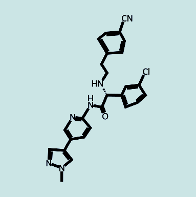 Cn1cc(-c2ccc(NC(=O)[C@H](NCCc3ccc(C#N)cc3)c3cccc(Cl)c3)nc2)cn1